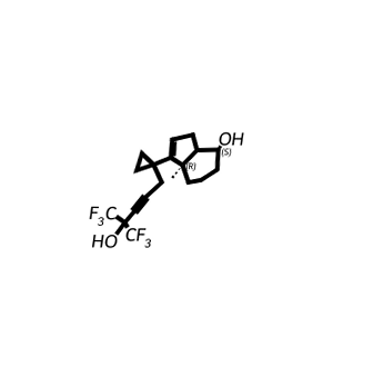 C[C@@]12CCC[C@H](O)C1CC=C2C1(CC#CC(O)(C(F)(F)F)C(F)(F)F)CC1